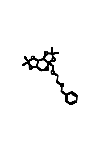 CC1(C)OC2COC3(COCCOCc4ccccc4)OC(C)(C)OC3C2O1